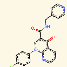 O=C(NCc1ccncc1)c1cn(-c2ccc(F)cc2)c2ncccc2c1=O